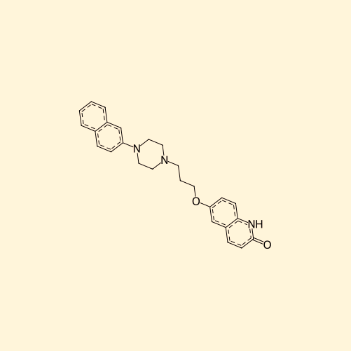 O=c1ccc2cc(OCCCN3CCN(c4ccc5ccccc5c4)CC3)ccc2[nH]1